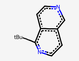 CC(C)(C)c1nccc2cnccc12